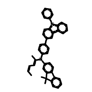 C/C=C\C=C(/C)N(c1ccc(-c2ccc3c(c2)c2ccccc2n3-c2ccccc2)cc1)c1ccc2c(c1)C(C)(C)c1ccccc1-2